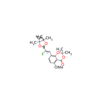 COc1ccc(/C=C(\F)B2OC(C)(C)C(C)(C)O2)c2c1C(=O)OC(C)(C)O2